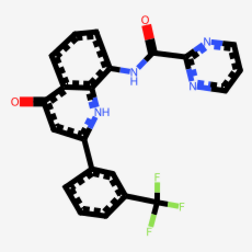 O=C(Nc1cccc2c(=O)cc(-c3cccc(C(F)(F)F)c3)[nH]c12)c1ncccn1